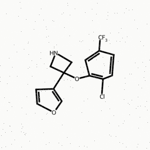 FC(F)(F)c1ccc(Cl)c(OC2(c3ccoc3)CNC2)c1